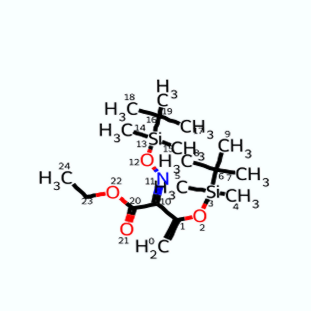 C=C(O[Si](C)(C)C(C)(C)C)C(=NO[Si](C)(C)C(C)(C)C)C(=O)OCC